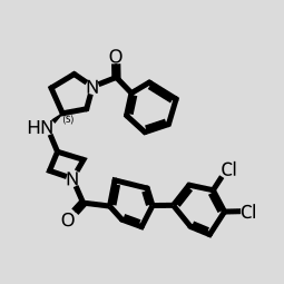 O=C(c1ccc(-c2ccc(Cl)c(Cl)c2)cc1)N1CC(N[C@H]2CCN(C(=O)c3ccccc3)C2)C1